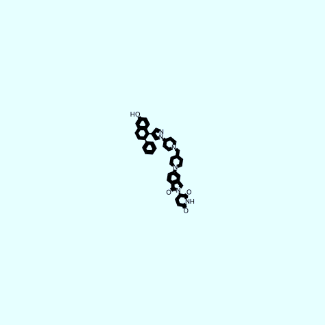 O=C1CC[C@@H](N2Cc3cc(N4CCC(CN5CCC(n6cc([C@@H]7c8ccc(O)cc8CC[C@@H]7c7ccccc7)cn6)CC5)CC4)ccc3C2=O)C(=O)N1